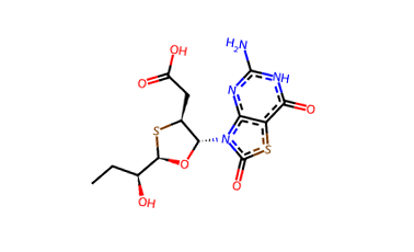 CC[C@H](O)[C@@H]1O[C@@H](n2c(=O)sc3c(=O)[nH]c(N)nc32)[C@H](CC(=O)O)S1